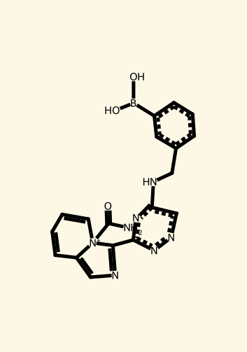 NC(=O)[N+]12C=CC=CC1=CN=C2c1nncc(NCc2cccc(B(O)O)c2)n1